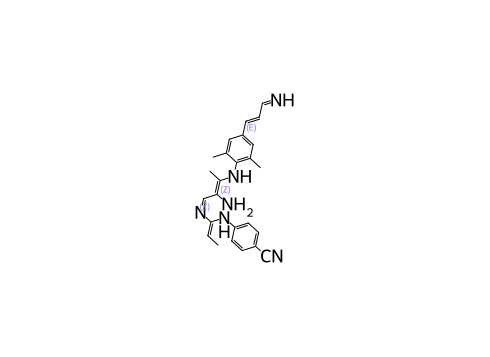 CC=C(/N=C\C(N)=C(/C)Nc1c(C)cc(/C=C/C=N)cc1C)Nc1ccc(C#N)cc1